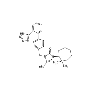 CCCCc1cn(C2CCCCCC2(C)C)c(=O)n1Cc1ccc(-c2ccccc2-c2nnn[nH]2)cn1